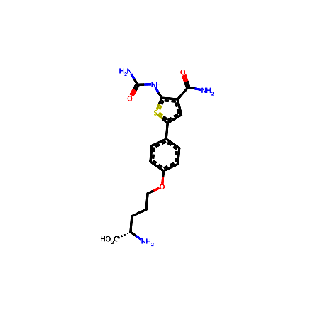 NC(=O)Nc1sc(-c2ccc(OCCC[C@H](N)C(=O)O)cc2)cc1C(N)=O